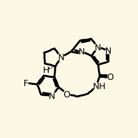 O=C1NCCOc2ncc(F)cc2[C@H]2CCCN2c2ccn3ncc1c3n2